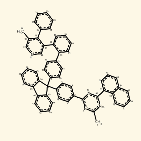 Cc1nc(-c2ccc(C3(c4ccc(-c5ccccc5-c5cncc(C)c5-c5ccccc5)cc4)c4ccccc4-c4ccccc43)cc2)nc(-c2cccc3ccccc23)n1